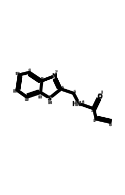 C=CC(=O)NCc1nc2ccccc2s1